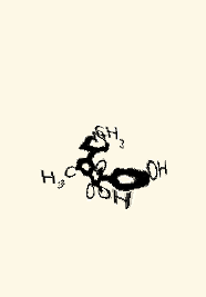 Cc1cc(C2CCN(C)CC2)c2oc(-c3ccc(O)cc3)c(O)c(=O)c2c1